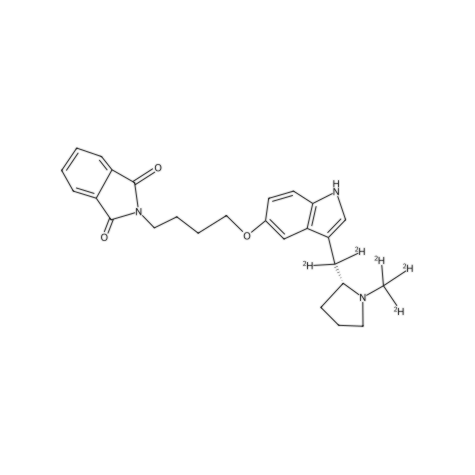 [2H]C([2H])(c1c[nH]c2ccc(OCCCCN3C(=O)c4ccccc4C3=O)cc12)[C@H]1CCCN1C([2H])([2H])[2H]